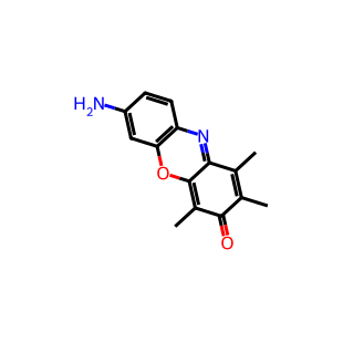 Cc1c2nc3ccc(N)cc3oc-2c(C)c(=O)c1C